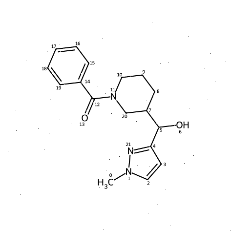 Cn1ccc(C(O)C2CCCN(C(=O)c3ccccc3)C2)n1